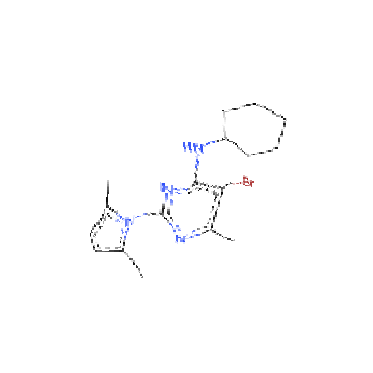 Cc1nc(-n2c(C)ccc2C)nc(NC2CCCCC2)c1Br